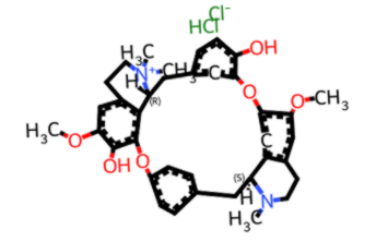 COc1cc2c3cc1Oc1cc(ccc1O)C[C@@H]1c4c(cc(OC)c(O)c4Oc4ccc(cc4)C[C@@H]3N(C)CC2)CC[N+]1(C)C.Cl.[Cl-]